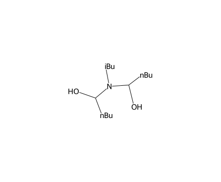 CCCCC(O)N(C(C)CC)C(O)CCCC